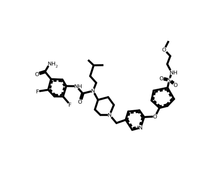 COCCNS(=O)(=O)c1ccc(Oc2ccc(CN3CCC(N(CCC(C)C)C(=O)Nc4cc(C(N)=O)c(F)cc4F)CC3)cn2)cc1